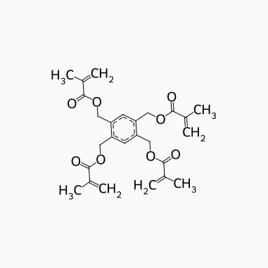 C=C(C)C(=O)OCc1cc(COC(=O)C(=C)C)c(COC(=O)C(=C)C)cc1COC(=O)C(=C)C